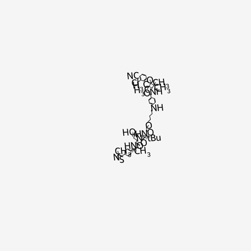 Cc1ncsc1-c1ccc([C@@H](C)NC(=O)C2C[C@H](O)CN2C(=O)[C@H](NC(=O)COCCCCCNc2ccc(C(=O)N[C@H]3C(C)(C)[C@H](Oc4ccc(C#N)c(Cl)c4)C3(C)C)cc2)C(C)(C)C)cc1